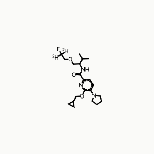 [2H]C([2H])(F)COCC(NC(=O)c1ccc(N2CCCC2)c(OCC2CC2)n1)C(C)C